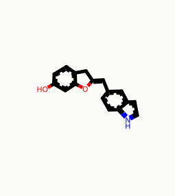 Oc1ccc2c(c1)O/C(=C\c1ccc3[nH]ccc3c1)C2